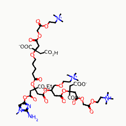 CCOC(=O)C(CC(=O)Oc1cn(C)c(N)n1)(CC(=O)OC(COCC[N+](C)(C)C)CC(=O)OC(CC(=O)[O-])(CC(=O)OCC(=O)OCC[N+](C)(C)C)C(=O)[O-])OC(=O)CCCCOC(CC(=O)O)(CC(=O)OCC(=O)OCC[N+](C)(C)C)C(=O)[O-]